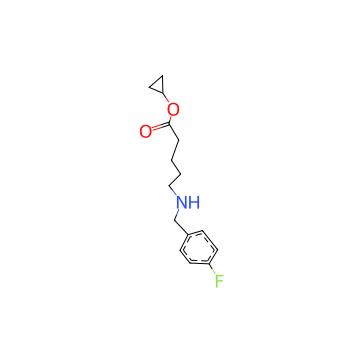 O=C(CCCCNCc1ccc(F)cc1)OC1CC1